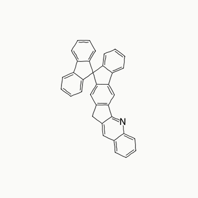 c1ccc2c(c1)-c1ccccc1C21c2ccccc2-c2cc3c(cc21)Cc1cc2ccccc2nc1-3